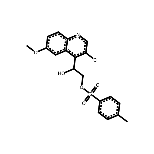 COc1ccc2ncc(Cl)c(C(O)COS(=O)(=O)c3ccc(C)cc3)c2c1